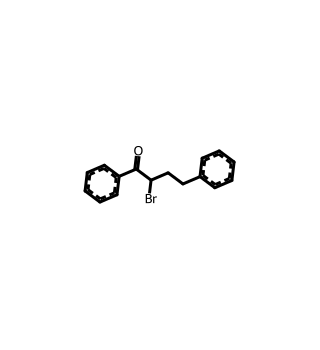 O=C(c1ccccc1)C(Br)CCc1ccccc1